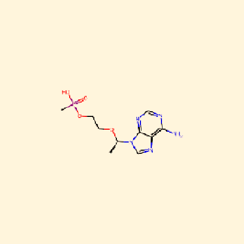 C[C@@H](OCCOP(C)(=O)O)n1cnc2c(N)ncnc21